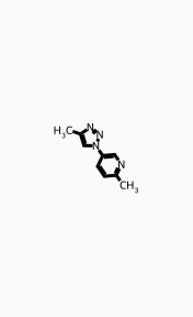 Cc1ccc(-n2cc(C)nn2)cn1